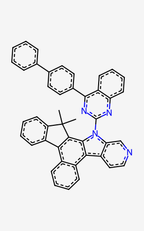 CC1(C)c2ccccc2-c2c1c1c(c3ccccc23)c2ccncc2n1-c1nc(-c2ccc(-c3ccccc3)cc2)c2ccccc2n1